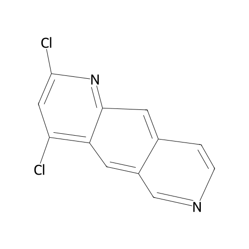 Clc1cc(Cl)c2cc3cnccc3cc2n1